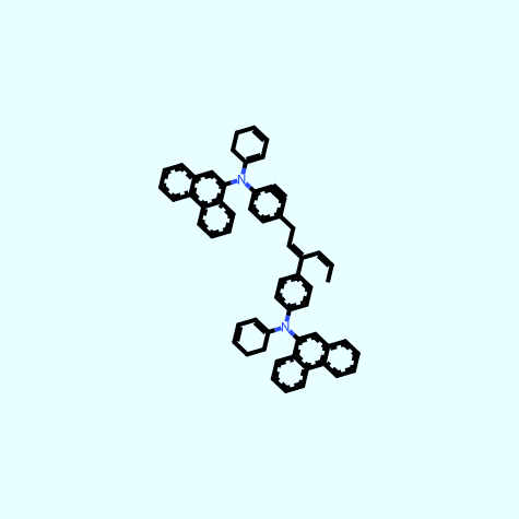 C/C=C\C(=C/Cc1c#cc(N(C2=CC=CCC2)c2cc3ccccc3c3ccccc23)cc1)c1ccc(N(C2=CC=CCC2)c2cc3ccccc3c3ccccc23)cc1